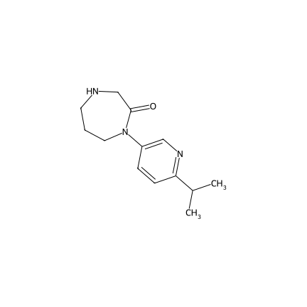 CC(C)c1ccc(N2CCCNCC2=O)cn1